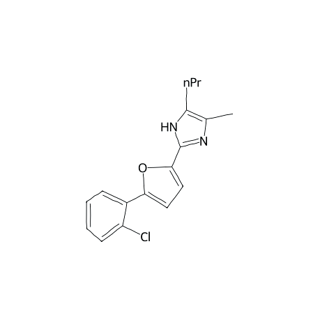 CCCc1[nH]c(-c2ccc(-c3ccccc3Cl)o2)nc1C